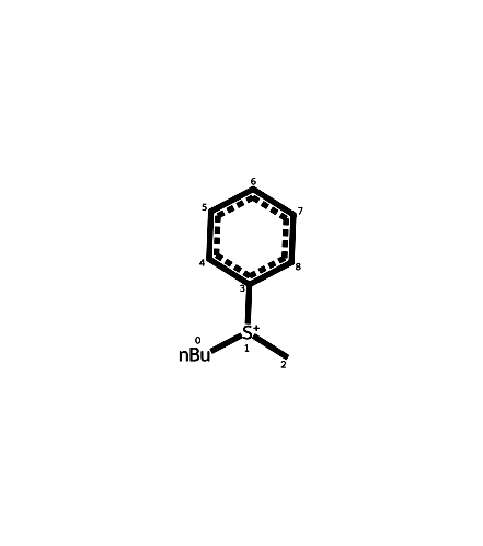 CCCC[S+](C)c1ccccc1